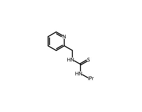 CC(C)NC(=S)NCc1ccccn1